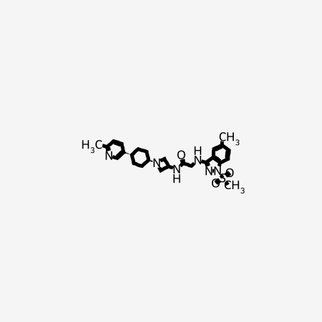 Cc1ccc2c(c1)c(NCC(=O)NC1CN([C@H]3CC[C@@H](c4ccc(C)nc4)CC3)C1)nn2S(C)(=O)=O